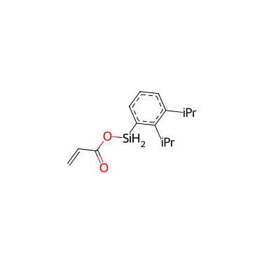 C=CC(=O)O[SiH2]c1cccc(C(C)C)c1C(C)C